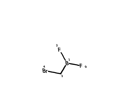 FB(F)CBr